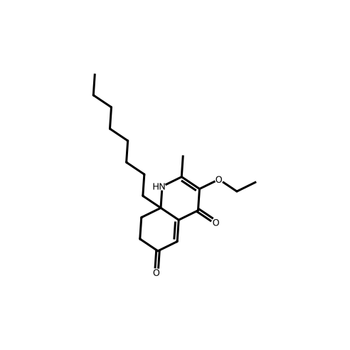 CCCCCCCCC12CCC(=O)C=C1C(=O)C(OCC)=C(C)N2